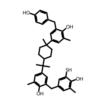 Cc1cc(Cc2cc(C(C)(C)C3CCC(C)(c4cc(C)c(O)c(Cc5ccc(O)cc5)c4)CC3)cc(C)c2O)cc(S)c1O